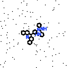 C1=CNC(C2Nc3ccccc3N2c2ccc(-c3c4ccc5ccccc5c4nc4c3ccc3ccccc34)cc2)C=C1